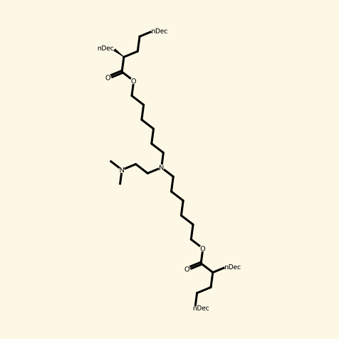 CCCCCCCCCCCCC(CCCCCCCCCC)C(=O)OCCCCCCN(CCCCCCOC(=O)[C@@H](CCCCCCCCCC)CCCCCCCCCCCC)CCN(C)C